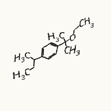 CCOC(C)(C)c1ccc(C(C)CC)cc1